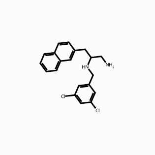 NCC(Cc1ccc2ccccc2c1)NCc1cc(Cl)cc(Cl)c1